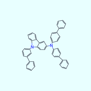 c1ccc(-c2ccc(N(c3ccc(-c4ccccc4)cc3)c3ccc4c(c3)c3ccccc3n4-c3cccc(-c4ccccc4)c3)cc2)cc1